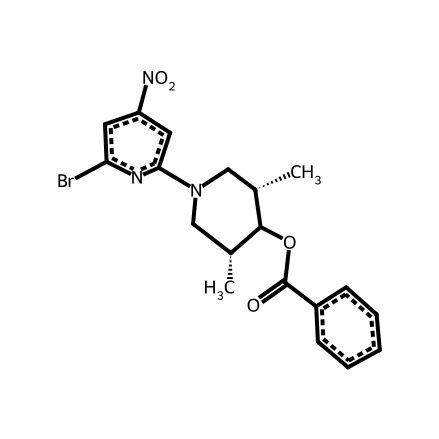 C[C@@H]1CN(c2cc([N+](=O)[O-])cc(Br)n2)C[C@H](C)C1OC(=O)c1ccccc1